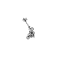 CC(C)N(CCCCCCSc1cccc2c1CN(C1CCC(=O)NC1=O)C2=O)C(C)C